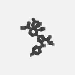 CC(C)CC1(C#N)[C@H](C#N)[C@H](n2cc(C(N)=O)c(Nc3ccc(F)cc3)n2)CCN1C(=O)O